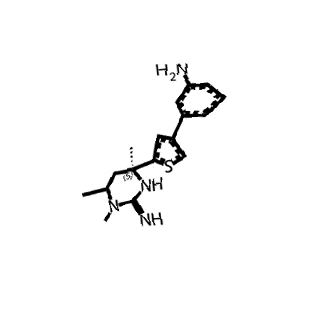 CC1C[C@@](C)(c2cc(-c3cccc(N)c3)cs2)NC(=N)N1C